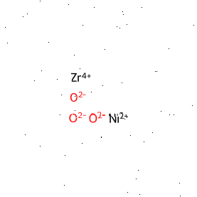 [Ni+2].[O-2].[O-2].[O-2].[Zr+4]